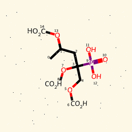 CC(CC(COC(=O)O)(OC(=O)O)P(=O)(O)O)OC(=O)O